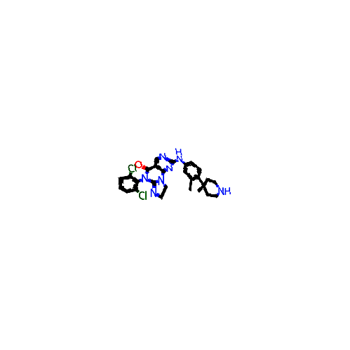 Cc1cc(Nc2ncc3c(n2)N2CCN=C2N(c2c(Cl)cccc2Cl)C3=O)ccc1C1(C)CCNCC1